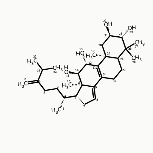 C=C(CC[C@@H](C)[C@H]1CC=C2C3=C([C@@H](O)[C@H](O)[C@@]21C)[C@@]1(C)C[C@@H](O)[C@H](O)C(C)(C)C1CC3)C(C)C